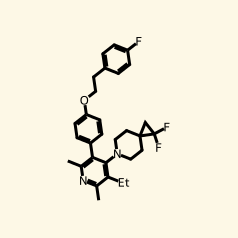 CCc1c(C)nc(C)c(-c2ccc(OCCc3ccc(F)cc3)cc2)c1N1CCC2(CC1)CC2(F)F